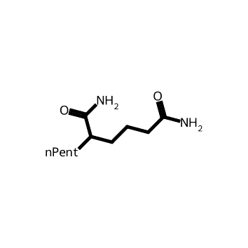 CCCCCC(CCCC(N)=O)C(N)=O